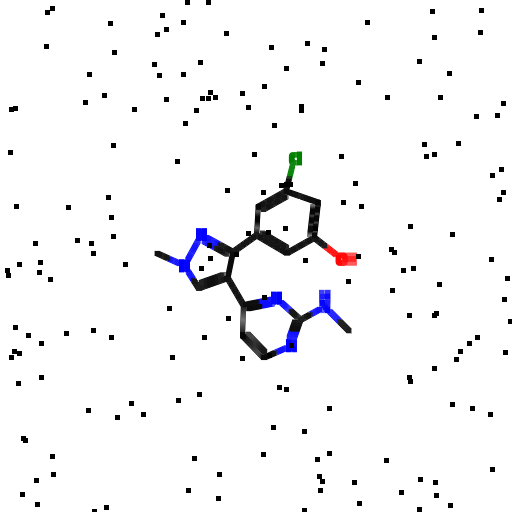 CNc1nccc(-c2cn(C)nc2-c2cc(O)cc(Cl)c2)n1